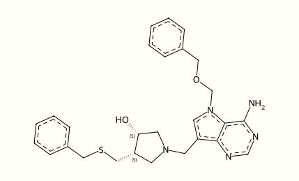 Nc1ncnc2c(CN3C[C@H](CSCc4ccccc4)[C@H](O)C3)cn(COCc3ccccc3)c12